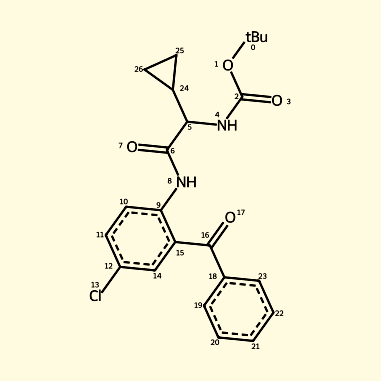 CC(C)(C)OC(=O)NC(C(=O)Nc1ccc(Cl)cc1C(=O)c1ccccc1)C1CC1